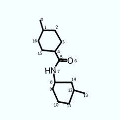 CC1CCC(C(=O)NC2CCCC(C)C2)CC1